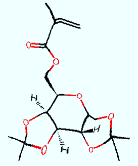 C=C(C)C(=O)OC[C@H]1OC2OC(C)(C)O[C@@H]2[C@H]2OC(C)(C)O[C@H]21